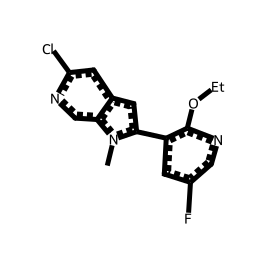 CCOc1ncc(F)cc1-c1cc2cc(Cl)ncc2n1C